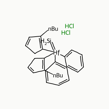 CCCCC1=[C]([Hf](=[SiH2])([C]2=C(CCCC)C=CC2)([c]2ccccc2)[c]2ccccc2)CC=C1.Cl.Cl